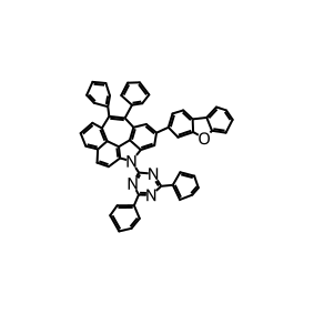 c1ccc(C2=C(c3ccccc3)c3cc(-c4ccc5c(c4)oc4ccccc45)cc4c3c3c5c2cccc5ccc3n4-c2nc(-c3ccccc3)nc(-c3ccccc3)n2)cc1